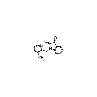 O=C1C(=O)N(Cc2ncccc2C(F)(F)F)c2ccccc21